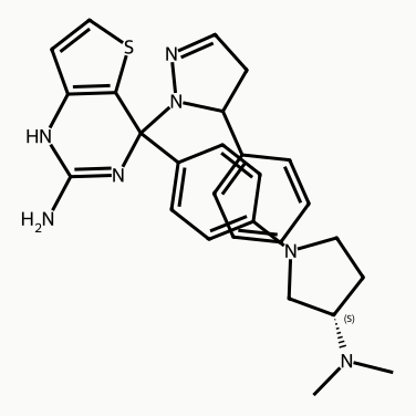 CN(C)[C@H]1CCN(c2ccc(C3(N4N=CCC4c4ccccc4)N=C(N)Nc4ccsc43)cc2)C1